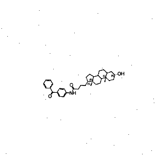 C[C@]12CC[C@@H](O)CC1CCC1C2CC[C@@]2(C)C1CC[C@@H]2CCCC(=O)Nc1ccc(C(=O)c2ccccc2)cc1